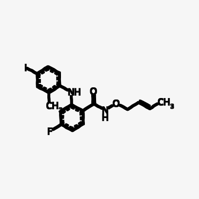 CC=CCONC(=O)c1ccc(F)cc1Nc1ccc(I)cc1C